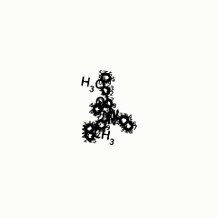 CC1(c2ccc(-c3ccc(-c4nc(C5=CCC(C)(c6cccc7ccccc67)C=C5)nc(-c5ccc6ccccc6c5)n4)c4c3oc3ccccc34)cc2)C=CC=CC1